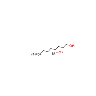 CCCCCCCCCCCCCCO.CCO